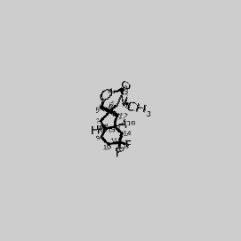 CN1C(=O)OCC12C[C@@H]1CCC(F)(F)C[C@@]1(I)C2